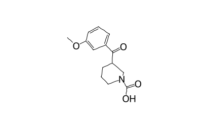 COc1cccc(C(=O)C2CCCN(C(=O)O)C2)c1